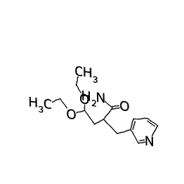 CCOC(CC(Cc1cccnc1)C(N)=O)OCC